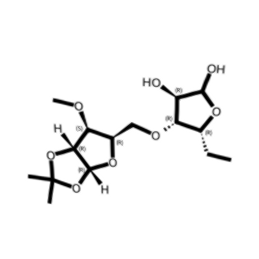 CC[C@H]1OC(O)[C@H](O)[C@H]1OC[C@H]1O[C@@H]2OC(C)(C)O[C@@H]2[C@H]1OC